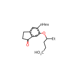 CCCCCCc1cc2c(cc1OC(CC)CCC(=O)O)C(=O)CC2